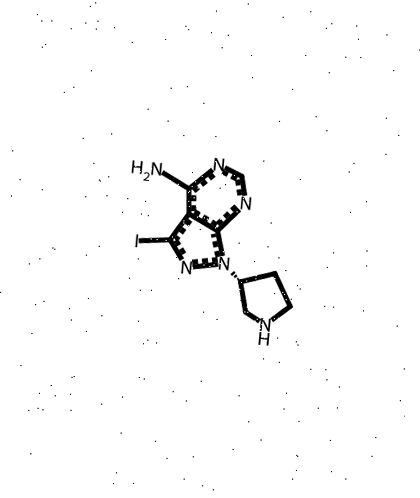 Nc1ncnc2c1c(I)nn2[C@@H]1CCNC1